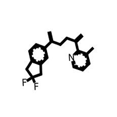 C=C(CCC(=C)c1ncccc1C)c1ccc2c(c1)CC(F)(F)C2